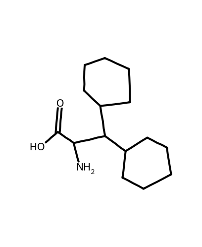 NC(C(=O)O)C(C1CCCCC1)C1CCCCC1